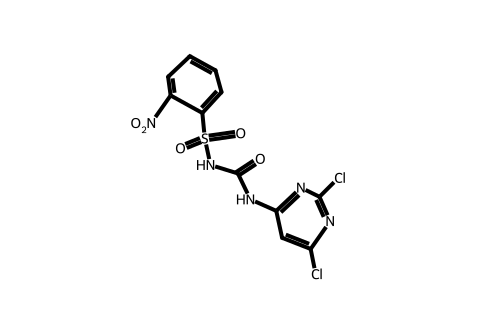 O=C(Nc1cc(Cl)nc(Cl)n1)NS(=O)(=O)c1ccccc1[N+](=O)[O-]